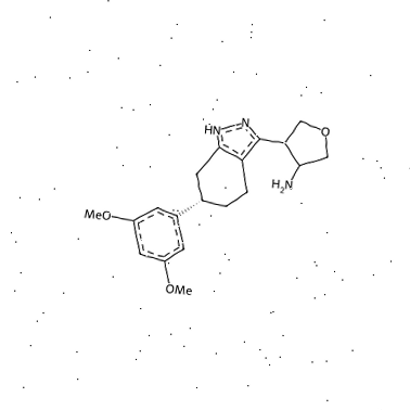 COc1cc(OC)cc([C@H]2CCc3c(C4COCC4N)n[nH]c3C2)c1